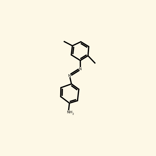 Cc1ccc(C)c(/N=N/c2ccc(N)cc2)c1